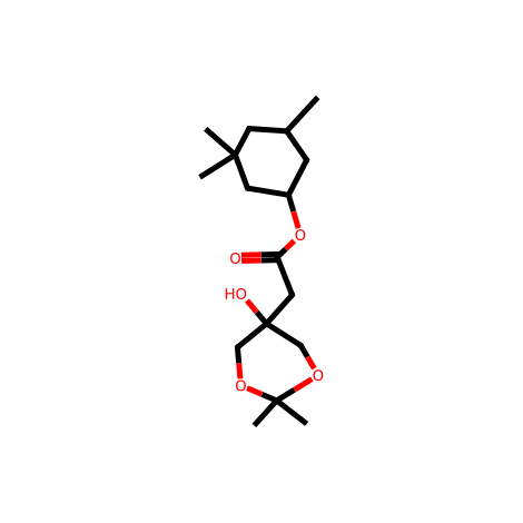 CC1CC(OC(=O)CC2(O)COC(C)(C)OC2)CC(C)(C)C1